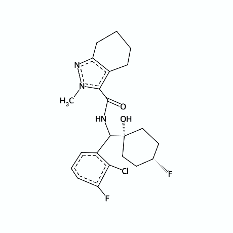 Cn1nc2c(c1C(=O)NC(c1cccc(F)c1Cl)[C@]1(O)CC[C@@H](F)CC1)CCCC2